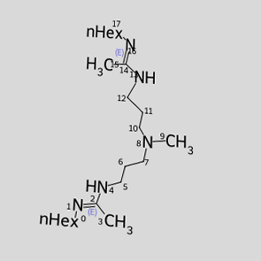 CCCCCC/N=C(\C)NCCCN(C)CCCN/C(C)=N/CCCCCC